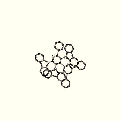 c1ccc(-c2cc(-c3ccccc3)nc(-c3c(-n4c5ccccc5c5ccccc54)c(-c4ccccc4)nc(-n4c5ccccc5c5ccccc54)c3-n3c4ccccc4c4ccccc43)c2)cc1